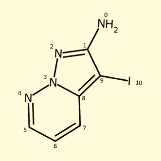 Nc1nn2ncccc2c1I